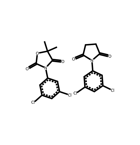 CC1(C)OC(=O)N(c2cc(Cl)cc(Cl)c2)C1=O.O=C1CCC(=O)N1c1cc(Cl)cc(Cl)c1